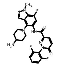 Cn1ncc2c(N3CCC(N)CC3)c(NC(=O)c3ccc(=O)n(-c4c(F)cccc4F)n3)cc(F)c21